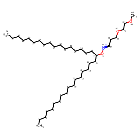 CCCCCCCCCCCCCCCCCC(CCCCCCCCCCCCCCCCC)O/N=C/CCOCCOC